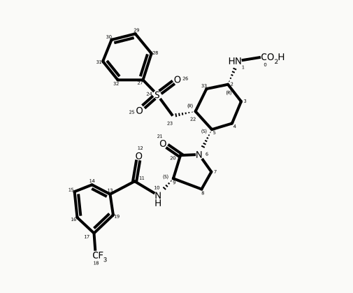 O=C(O)N[C@@H]1CC[C@H](N2CC[C@H](NC(=O)c3cccc(C(F)(F)F)c3)C2=O)[C@H](CS(=O)(=O)c2ccccc2)C1